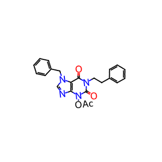 CC(=O)On1c(=O)n(CCc2ccccc2)c(=O)c2c1ncn2Cc1ccccc1